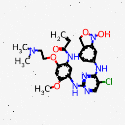 C=CC(=O)Nc1cc(Nc2ncc(Cl)c(Nc3ccc4c(c3)N(O)OC4)n2)c(OC)cc1OCCN(C)C